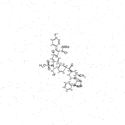 CNC(=O)c1c(-c2ccc(F)cc2)oc2cc(N(CCF)S(C)(=O)=O)c(-c3cccc(C(=O)N4CCN(c5nnnn5-c5ccccc5)[C@H](C)C4)c3)cc12